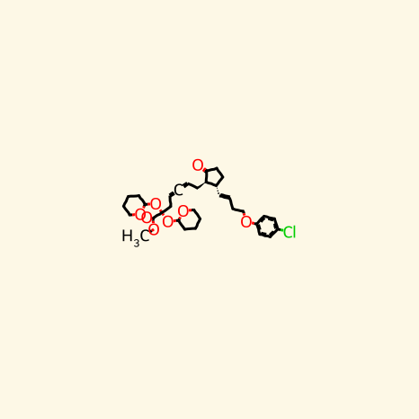 COC(=O)C(CC=C=CC[C@H]1C(=O)CC[C@@H]1/C=C/CCOc1ccc(Cl)cc1)(OC1CCCCO1)OC1CCCCO1